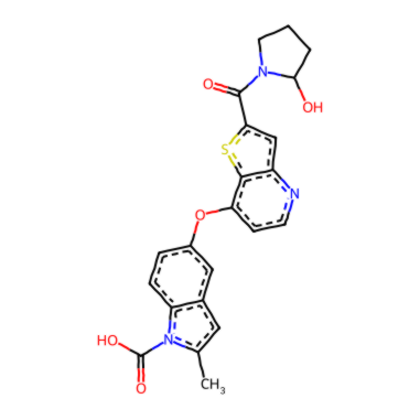 Cc1cc2cc(Oc3ccnc4cc(C(=O)N5CCCC5O)sc34)ccc2n1C(=O)O